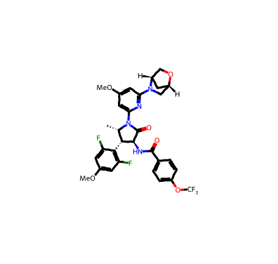 COc1cc(N2C[C@@H]3C[C@H]2CO3)nc(N2C(=O)[C@@H](NC(=O)c3ccc(OC(F)(F)F)cc3)[C@H](c3c(F)cc(OC)cc3F)[C@@H]2C)c1